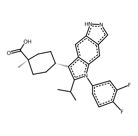 CC(C)c1c([C@H]2CC[C@](C)(C(=O)O)CC2)c2cc3[nH]ncc3cc2n1-c1ccc(F)c(F)c1